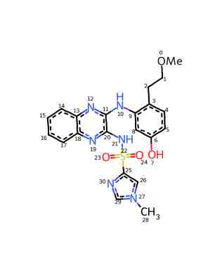 COCCc1ccc(O)cc1Nc1nc2ccccc2nc1NS(=O)(=O)c1cn(C)cn1